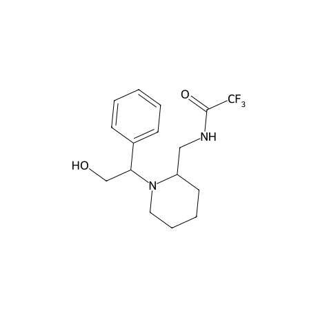 O=C(NCC1CCCCN1C(CO)c1ccccc1)C(F)(F)F